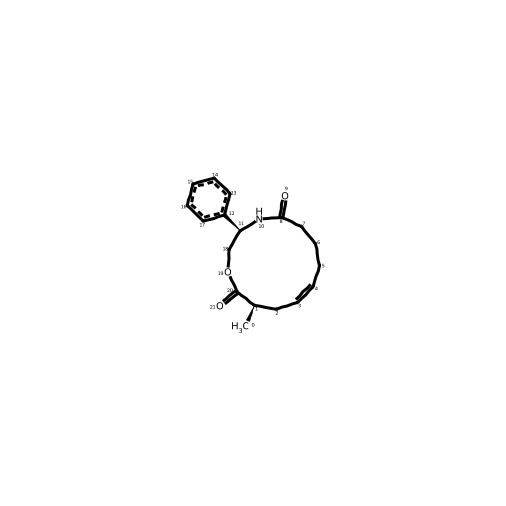 C[C@@H]1CC=CCCCC(=O)N[C@H](c2ccccc2)COC1=O